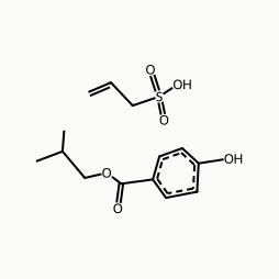 C=CCS(=O)(=O)O.CC(C)COC(=O)c1ccc(O)cc1